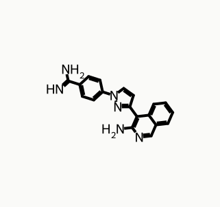 N=C(N)c1ccc(-n2ccc(-c3c(N)ncc4ccccc34)n2)cc1